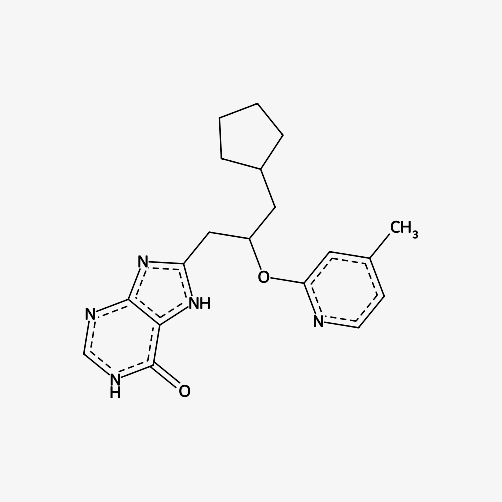 Cc1ccnc(OC(Cc2nc3nc[nH]c(=O)c3[nH]2)CC2CCCC2)c1